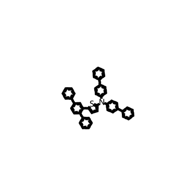 c1ccc(-c2ccc(N(c3ccc(-c4ccccc4)cc3)c3ccc(-c4cc(-c5ccccc5)ccc4-c4ccccc4)s3)cc2)cc1